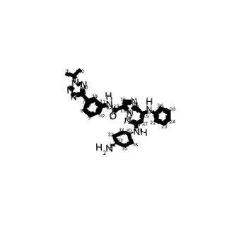 CC(C)n1nnc(-c2cccc(NC(=O)c3cnc4c(Nc5ccccc5)cc(N[C@H]5CC[C@H](N)CC5)nn34)c2)n1